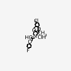 CC1Oc2ccc(Cl)cc2COC12CCN(CC(O)COc1ccc(F)cc1)CC2.Cl